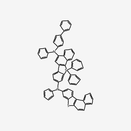 c1ccc(-c2ccc(N(c3ccccc3)c3cc4c(c5ccccc35)[Si](c3ccccc3)(c3ccccc3)c3cc(N(c5ccccc5)c5ccc6c(c5)sc5ccc7ccccc7c56)ccc3-4)cc2)cc1